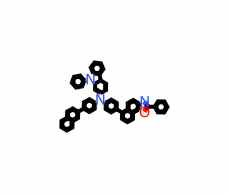 C1=CC2c3ccccc3N(c3ccccc3)C2C=C1N(c1ccc(-c2ccc3ccccc3c2)cc1)c1ccc(-c2cccc3c2ccc2nc(-c4ccccc4)oc23)cc1